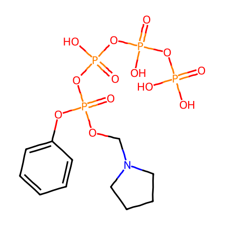 O=P(O)(O)OP(=O)(O)OP(=O)(O)OP(=O)(OCN1CCCC1)Oc1ccccc1